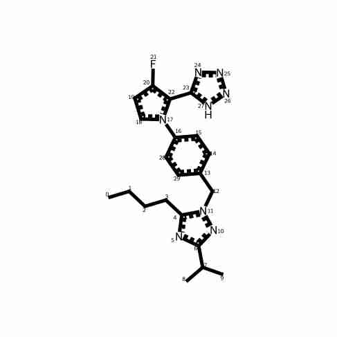 CCCCc1nc(C(C)C)nn1Cc1ccc(-n2ccc(F)c2-c2nnn[nH]2)cc1